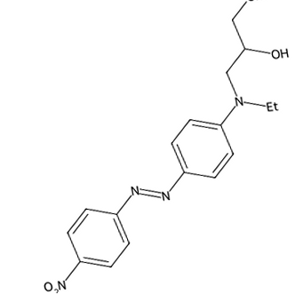 CCN(CC(O)CO)c1ccc(N=Nc2ccc([N+](=O)[O-])cc2)cc1